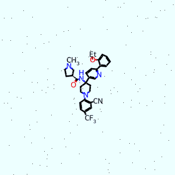 CCOc1ccccc1-c1ccc(C2(NC(=O)[C@H]3CCN(C)C3)CCN(c3ccc(C(F)(F)F)cc3C#N)CC2)cn1